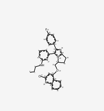 CCCNc1nccc(-c2c(-c3ccc(F)cc3)nc3n2C(COc2cc(Cl)nc4ccccc24)CC3)n1